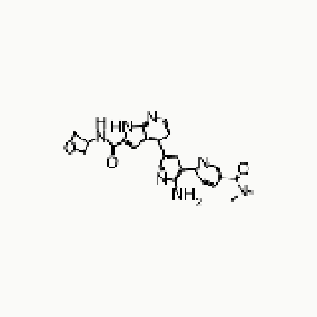 CN(C)C(=O)c1ccc(-c2cc(-c3ccnc4[nH]c(C(=O)NC5COC5)cc34)cnc2N)nc1